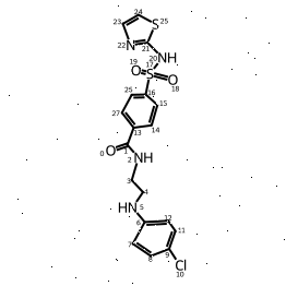 O=C(NCCNc1ccc(Cl)cc1)c1ccc(S(=O)(=O)Nc2nccs2)cc1